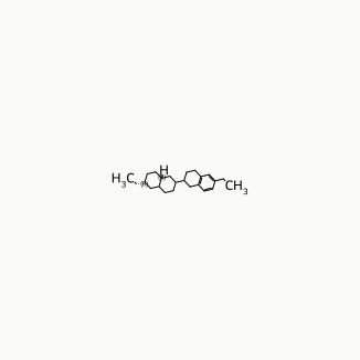 CCc1ccc2c(c1)CCC(C1CCC3C[C@H](CC)CC[C@@H]3C1)C2